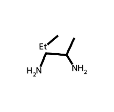 CC(N)CN.CCC